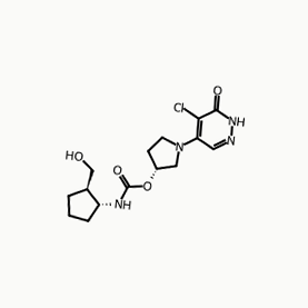 O=C(N[C@@H]1CCC[C@H]1CO)O[C@@H]1CCN(c2cn[nH]c(=O)c2Cl)C1